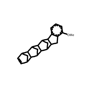 COc1cccc2c1CC1C3CC(C21)C1C2CC(C4C5C=CC(C5)C24)C31